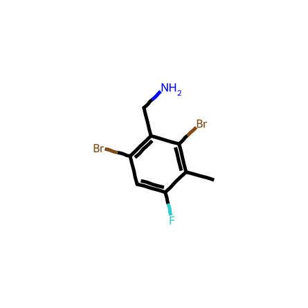 Cc1c(F)cc(Br)c(CN)c1Br